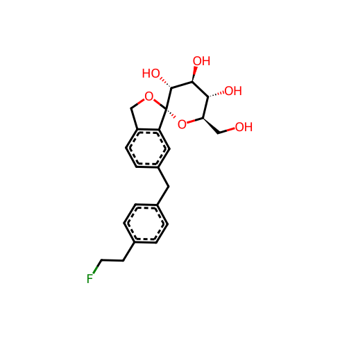 OC[C@H]1O[C@]2(OCc3ccc(Cc4ccc(CCF)cc4)cc32)[C@H](O)[C@@H](O)[C@@H]1O